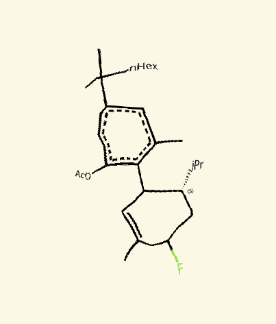 CCCCCCC(C)(C)c1cc(C)c(C2C=C(C)C(F)C[C@H]2C(C)C)c(OC(C)=O)c1